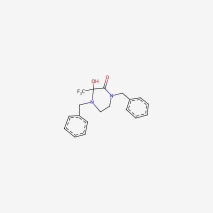 O=C1N(Cc2ccccc2)CCN(Cc2ccccc2)C1(O)C(F)(F)F